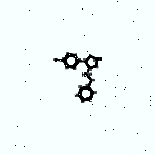 Fc1ccc([C@H]2CNC[C@@H]2NCc2ccccc2)cc1